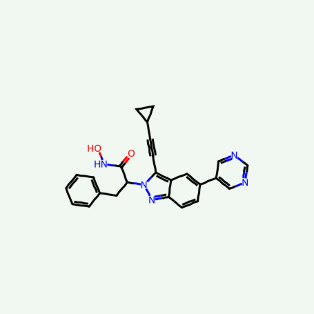 O=C(NO)C(Cc1ccccc1)n1nc2ccc(-c3cncnc3)cc2c1C#CC1CC1